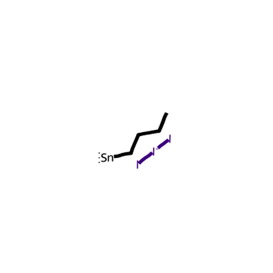 CCC[CH2][Sn].I[I-]I